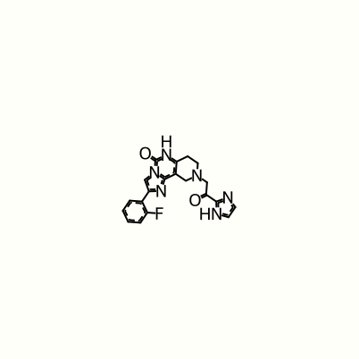 O=C(CN1CCc2[nH]c(=O)n3cc(-c4ccccc4F)nc3c2C1)c1ncc[nH]1